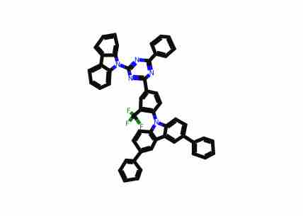 FC(F)(F)c1cc(-c2nc(-c3ccccc3)nc(-n3c4ccccc4c4ccccc43)n2)ccc1-n1c2ccc(-c3ccccc3)cc2c2cc(-c3ccccc3)ccc21